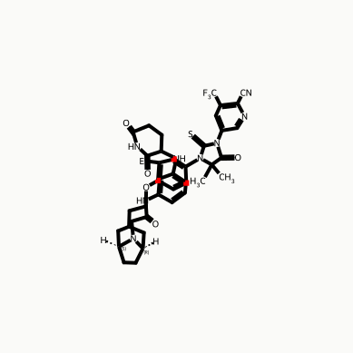 CCc1cc(N2C(=S)N(c3cnc(C#N)c(C(F)(F)F)c3)C(=O)C2(C)C)ccc1OCCC1C[C@H]2CC[C@@H](C1)N2CC(=O)Nc1cccc(NC2CCC(=O)NC2=O)c1